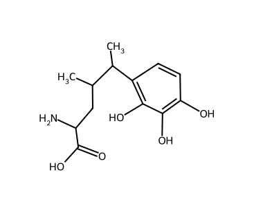 CC(CC(N)C(=O)O)C(C)c1ccc(O)c(O)c1O